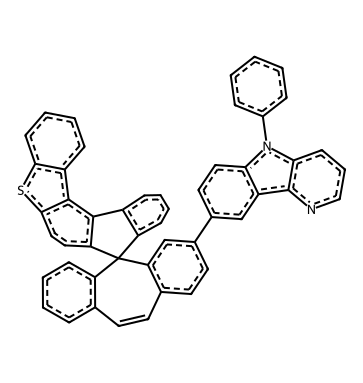 C1=Cc2ccc(-c3ccc4c(c3)c3ncccc3n4-c3ccccc3)cc2C2(c3ccccc31)c1ccccc1-c1c2ccc2sc3ccccc3c12